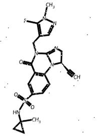 C#C[C@@H]1CN=C2N(Cc3cnn(C)c3F)C(=O)c3cc(S(=O)(=O)NC4(C)CC4)ccc3N21